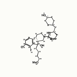 CNC[C@H](CC1CCC(O)CC1)NC(=O)N1CCC[C@@H]([C@@](O)(CCCCOC)c2cccc(Cl)c2F)C1